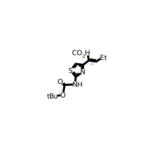 CC/C=C(\C(=O)O)c1csc(NC(=O)OC(C)(C)C)n1